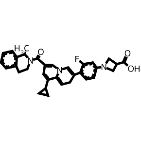 C[C@@H]1c2ccccc2CCN1C(=O)C1=CN2C=C(c3ccc(N4CC(C(=O)O)C4)cc3F)CC=C2C(C2CC2)=C1